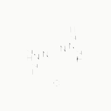 C[SiH](C)N(N=C1CCC(=O)CC1=NN([SiH](C)C)[SiH](C)C)[SiH](C)C